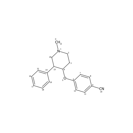 CN1CCC(Oc2ccc(C#N)cc2)C(c2ccccc2)C1